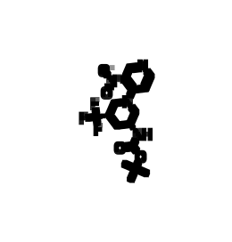 CC(C)(C)OC(=O)N[C@@H]1C[C@H](C(F)(F)F)CN(c2ccncc2[N+](=O)[O-])C1